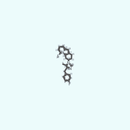 Cc1c(Cc2ccc(F)cc2)nnn1C1CCc2[c]c3cccc(F)n3c2C1